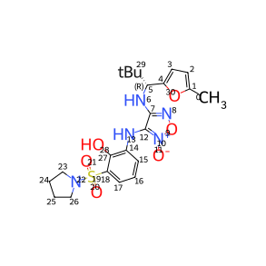 Cc1ccc([C@H](Nc2no[n+]([O-])c2Nc2cccc(S(=O)(=O)N3CCCC3)c2O)C(C)(C)C)o1